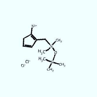 C[Si](C)(C)O[Si](C)(C)CC1=[C]([Ti+2])CC=C1.[Cl-].[Cl-]